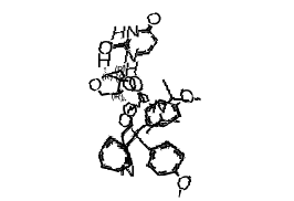 COc1ccc(C(OC[C@@]23CO[C@@H]([C@H](n4ccc(=O)[nH]c4=O)O2)[C@@H]3OP(OCCC#N)N(C(C)C)C(C)C)(c2ccccc2)c2ccc(OC)cc2)cc1